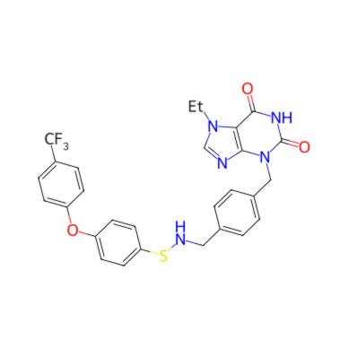 CCn1cnc2c1c(=O)[nH]c(=O)n2Cc1ccc(CNSc2ccc(Oc3ccc(C(F)(F)F)cc3)cc2)cc1